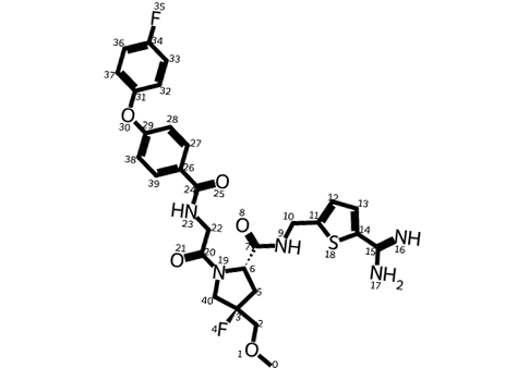 COC[C@@]1(F)C[C@@H](C(=O)NCc2ccc(C(=N)N)s2)N(C(=O)CNC(=O)c2ccc(Oc3ccc(F)cc3)cc2)C1